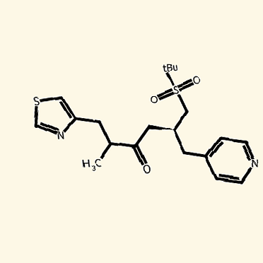 CC(Cc1cscn1)C(=O)C[C@H](Cc1ccncc1)CS(=O)(=O)C(C)(C)C